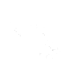 CCc1cc(-c2ccc(C(=O)NCC(=O)C3(N4C[C@H](Cl)[C@H]5OCC(=O)[C@H]54)CCCCC3)s2)cnn1